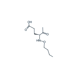 CCCCON[C@@H](CCC(=O)O)C(C)=O